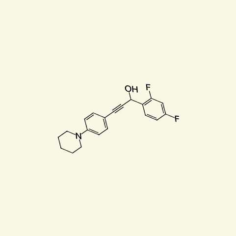 OC(C#Cc1ccc(N2CCCCC2)cc1)c1ccc(F)cc1F